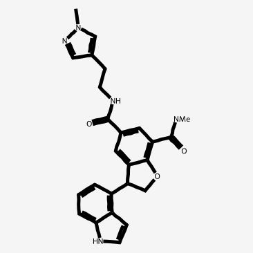 CNC(=O)c1cc(C(=O)NCCc2cnn(C)c2)cc2c1OCC2c1cccc2[nH]ccc12